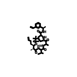 C=CCC[C@@H](O[Si](C)(C)C(C)(C)C)[C@@H](C)C(=O)NC(C(=O)NC(C)C(=O)N1CCCC(C(=O)N[C@H](C)c2cccc(C=C)c2)N1)C(C)C